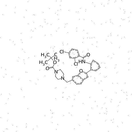 CC(C)(C)OC(=O)N1CCN(Cc2ccc3cc(-c4ccccc4NC(=O)c4ccc(Cl)cc4Cl)oc3c2)CC1